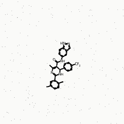 CC1=C(C(=O)Nc2ccc3[nH]ncc3c2)C(c2ccc(C(F)(F)F)cc2)NC(c2cc(C)ccc2C)=N1